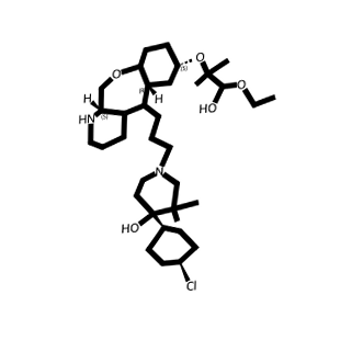 CCOC(O)C(C)(C)O[C@H]1CCC2OC[C@H]3NCCCC3C(CCCN3CCC(O)([C@H]4CC[C@@H](Cl)CC4)C(C)(C)C3)[C@H]2C1